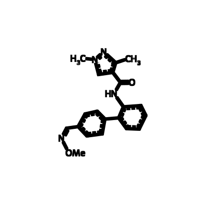 CO/N=C\c1ccc(-c2ccccc2NC(=O)c2cn(C)nc2C)cc1